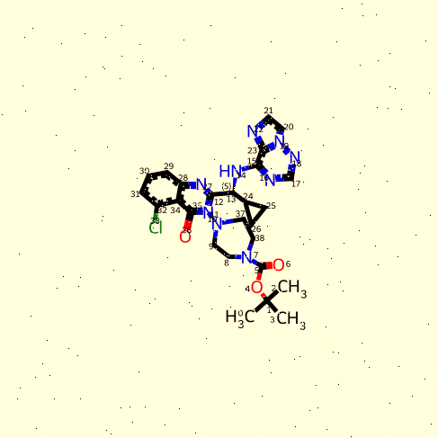 CC(C)(C)OC(=O)N1CCN(n2c([C@@H](Nc3ncnn4ccnc34)C3CC3)nc3cccc(Cl)c3c2=O)CC1